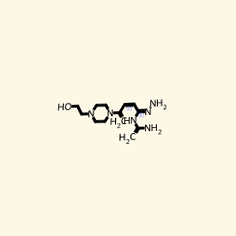 C=C(N)NC(/C=C\C(=C)N1CCN(CCO)CC1)=N/N